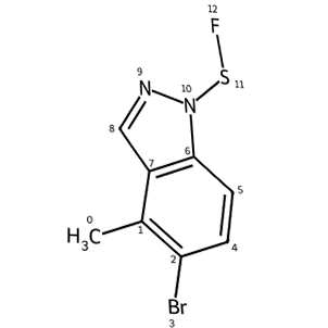 Cc1c(Br)ccc2c1cnn2SF